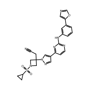 N#CCC1(n2cc(-c3ccnc(Nc4cccc(-c5cnco5)c4)n3)cn2)CN(S(=O)(=O)C2CC2)C1